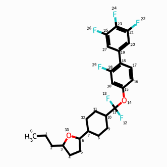 CCCC1CCC(C2CCC(C(F)(F)Oc3ccc(-c4cc(F)c(F)c(F)c4)c(F)c3)CC2)O1